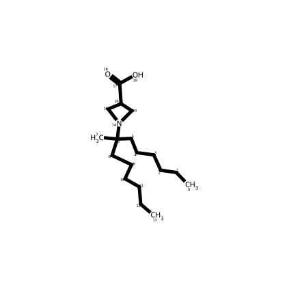 CCCCCCC(C)(CCCCCC)N1CC(C(=O)O)C1